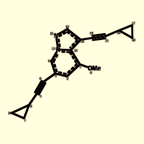 COc1cc(C#CC2CC2)cn2ncc(C#CC3CC3)c12